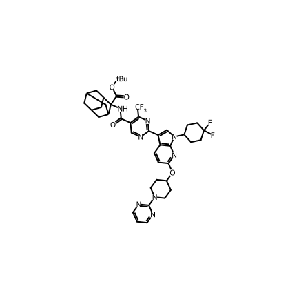 CC(C)(C)OC(=O)C1(NC(=O)c2cnc(-c3cn(C4CCC(F)(F)CC4)c4nc(OC5CCN(c6ncccn6)CC5)ccc34)nc2C(F)(F)F)C2CC3CC(C2)CC1C3